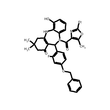 CCc1nc(C(=O)N2c3cccc(O)c3NC3=C(C(=O)CC(C)(C)C3)C2c2ccc(OCc3ccccc3)cc2F)c(C)o1